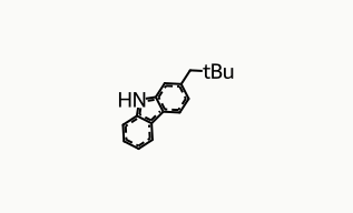 CC(C)(C)Cc1ccc2c(c1)[nH]c1ccccc12